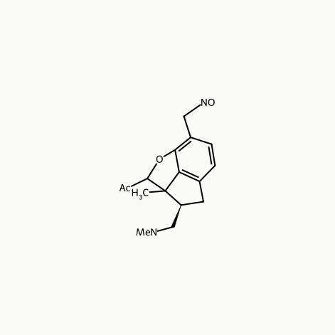 CNC[C@@H]1Cc2ccc(CN=O)c3c2C1(C)C(C(C)=O)O3